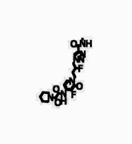 CNC(=O)c1cn(CC(F)CCn2ccc(NC(=O)C(=O)N3CCCCC3)c(F)c2=O)nn1